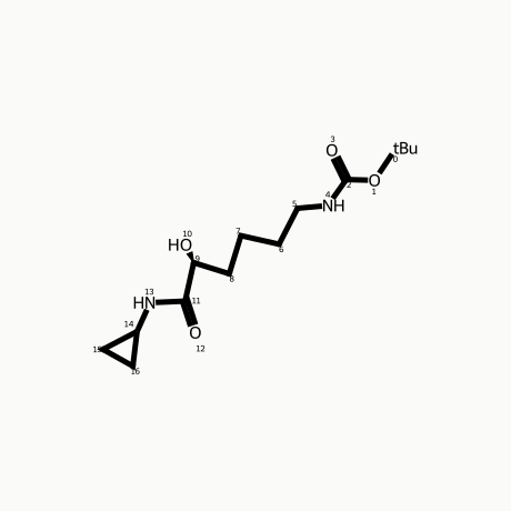 CC(C)(C)OC(=O)NCCCC[C@H](O)C(=O)NC1CC1